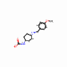 COc1ccc(CN[C@H]2CC[C@H](NC(=O)O)CC2)cc1